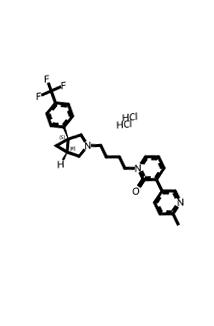 Cc1ccc(-c2cccn(CCCCN3C[C@@H]4C[C@]4(c4ccc(C(F)(F)F)cc4)C3)c2=O)cn1.Cl.Cl